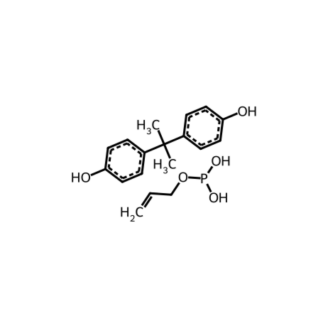 C=CCOP(O)O.CC(C)(c1ccc(O)cc1)c1ccc(O)cc1